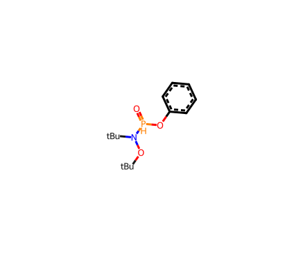 CC(C)(C)ON([PH](=O)Oc1ccccc1)C(C)(C)C